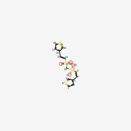 O=S(=O)(/C=C\c1ccsc1)CS(=O)(=O)/C=C/c1ccsc1